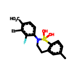 CCc1c(C(=O)O)ccc(N2CCc3cc(C)ccc3S2(O)O)c1F